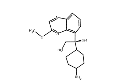 COc1cnc2cccc([C@@](O)(CO)C3CCC(N)CC3)c2n1